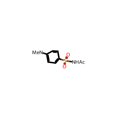 CNc1ccc(S(=O)(=O)NC(C)=O)cc1